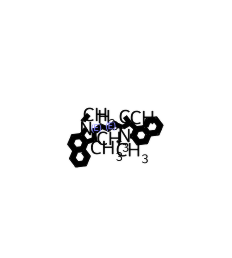 CCN1/C(=C/C=C/C2=[N+](CC)c3ccc4ccccc4c3C2(C)C)C(C)(C)c2c1ccc1ccccc21